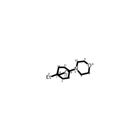 CCC12CCC(N3CCOCC3)(CC1)CC2